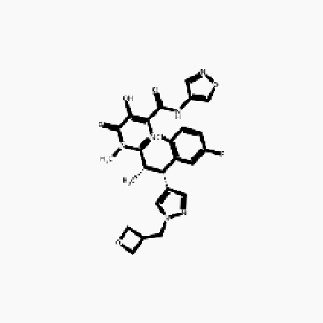 C[C@H](c1nc(C(=O)Nc2cnoc2)c(O)c(=O)n1C)[C@@H](c1cnn(CC2COC2)c1)c1cc(F)ccc1Cl